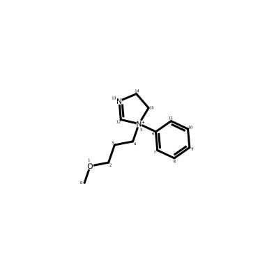 COCCC[N+]1(c2ccccc2)C=NCC1